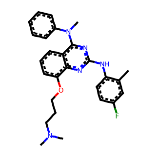 Cc1cc(F)ccc1Nc1nc(N(C)c2ccccc2)c2cccc(OCCCN(C)C)c2n1